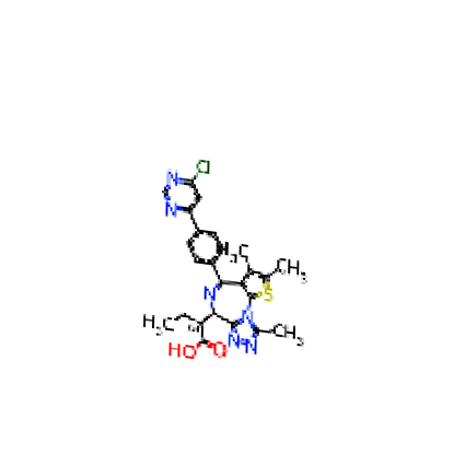 CC[C@H](C(=O)O)C1N=C(c2ccc(-c3cc(Cl)ncn3)cc2)c2c(sc(C)c2C)-n2c(C)nnc21